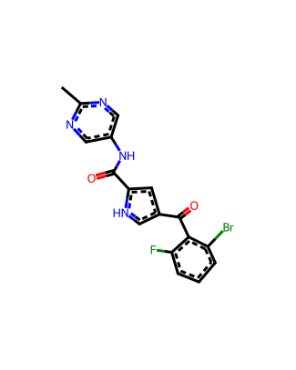 Cc1ncc(NC(=O)c2cc(C(=O)c3c(F)cccc3Br)c[nH]2)cn1